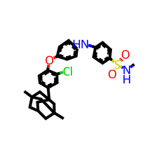 CNS(=O)(=O)c1ccc(Nc2ccc(Oc3ccc(C45CC6CC(C)(CC(C)(C6)C4)C5)cc3Cl)cc2)cc1